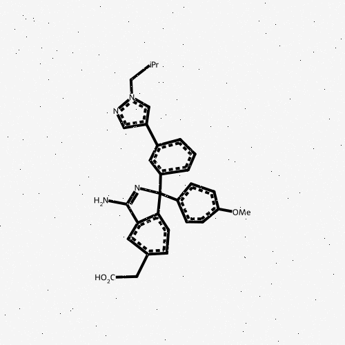 COc1ccc(C2(c3cccc(-c4cnn(CC(C)C)c4)c3)N=C(N)c3cc(CC(=O)O)ccc32)cc1